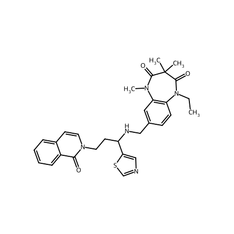 CCN1C(=O)C(C)(C)C(=O)N(C)c2cc(CNC(CCn3ccc4ccccc4c3=O)c3cncs3)ccc21